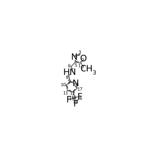 Cc1ocnc1CNCc1ccc(C(F)(F)F)cn1